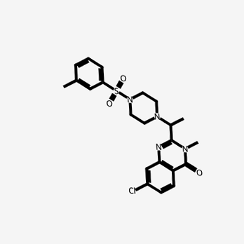 Cc1cccc(S(=O)(=O)N2CCN(C(C)c3nc4cc(Cl)ccc4c(=O)n3C)CC2)c1